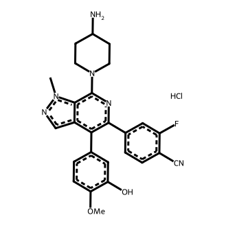 COc1ccc(-c2c(-c3ccc(C#N)c(F)c3)nc(N3CCC(N)CC3)c3c2cnn3C)cc1O.Cl